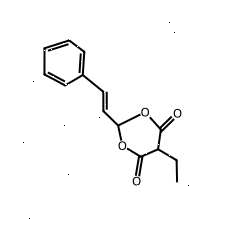 CCC1C(=O)OC(C=Cc2ccccc2)OC1=O